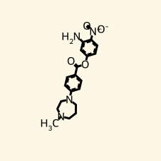 CN1CCCN(c2ccc(C(=O)Oc3ccc([N+](=O)[O-])c(N)c3)cc2)CC1